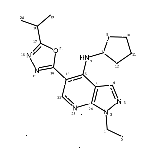 CCn1ncc2c(NC3CCCC3)c(-c3nnc(C(C)C)o3)cnc21